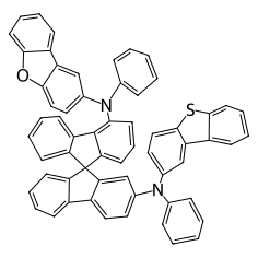 c1ccc(N(c2ccc3c(c2)C2(c4ccccc4-3)c3ccccc3-c3c(N(c4ccccc4)c4ccc5oc6ccccc6c5c4)cccc32)c2ccc3sc4ccccc4c3c2)cc1